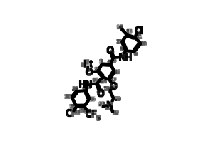 CCOc1cc(C(=O)Nc2ccc(Cl)c(C)c2)cc(OCCN(C)C)c1C(=O)Nc1ccc(Cl)c(C(F)(F)F)c1